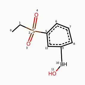 CCS(=O)(=O)c1cccc(BO)c1